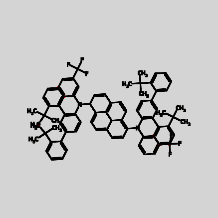 CC(C)(C)c1ccccc1-c1ccc(N(C2=C3C=CC4=C5C(=CC=C(C=C2)C35)C(N(c2cccc(C(F)(F)F)c2)c2ccc(-c3ccccc3C(C)(C)C)cc2-c2ccccc2C(C)(C)C)C=C4)c2cccc(C(F)(F)F)c2)c(-c2ccccc2C(C)(C)C)c1